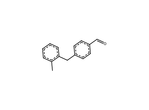 Cc1ccccc1Cc1ccc(C=O)cc1